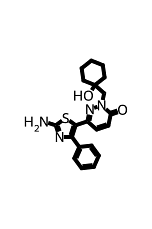 Nc1nc(-c2ccccc2)c(-c2ccc(=O)n(CC3(O)CCCCC3)n2)s1